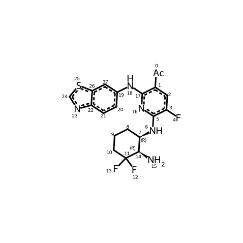 CC(=O)c1cc(F)c(N[C@@H]2CCCC(F)(F)[C@@H]2N)nc1Nc1ccc2ncsc2c1